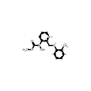 COC(=O)N(O)c1cccnc1COc1ccccc1C